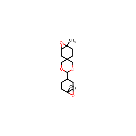 CC12CCC(C3OCC4(CCC5(C)OC5C4)CO3)CC1O2